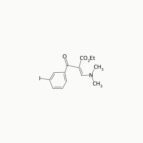 CCOC(=O)C(=CN(C)C)C(=O)c1cccc(I)c1